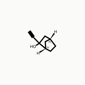 C#CC1(O)C[C@@H]2CC[C@H]1C2